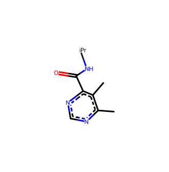 Cc1ncnc(C(=O)NC(C)C)c1C